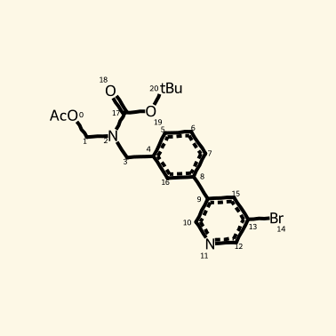 CC(=O)OCN(Cc1cccc(-c2cncc(Br)c2)c1)C(=O)OC(C)(C)C